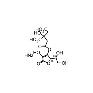 O=C(O)CC(O)(CC(=O)OC1=C(O)C(=O)O[C@@H]1[C@@H](O)CO)C(=O)O.[NaH]